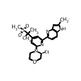 [CH2]c1cc2nc(-c3cc(C(C)(C)S(C)(=O)=O)cc(N4CCOC[C@@H]4CC)n3)ccc2[nH]1